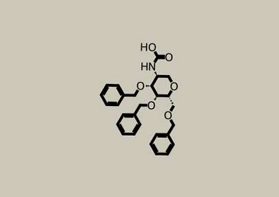 O=C(O)N[C@@H]1CO[C@H](COCc2ccccc2)[C@H](OCc2ccccc2)[C@@H]1OCc1ccccc1